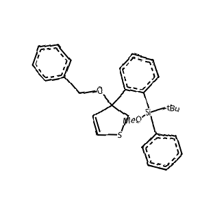 CO[Si](c1ccccc1)(c1ccccc1C1(OCc2ccccc2)C=CSC1)C(C)(C)C